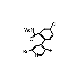 CNC(=O)c1cc(Cl)ccc1-c1cc(Br)ncc1F